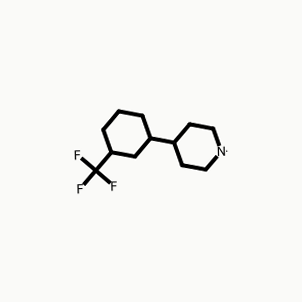 FC(F)(F)C1CCCC(C2CC[N]CC2)C1